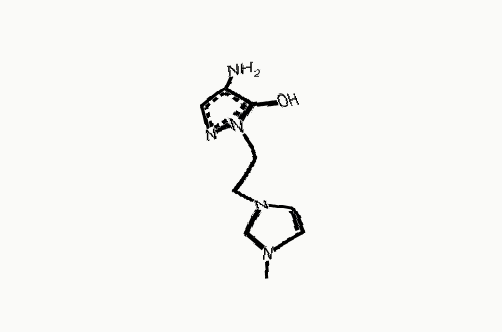 CN1C=CN(CCn2ncc(N)c2O)C1